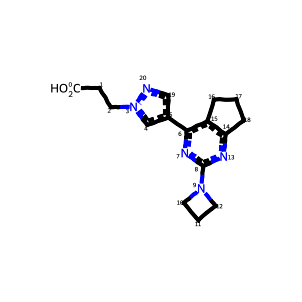 O=C(O)CCn1cc(-c2nc(N3CCC3)nc3c2CCC3)cn1